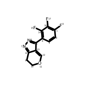 Fc1ccc(C2=NN=C3CCOC=C32)c(F)c1F